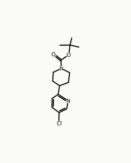 CC(C)(C)OC(=O)N1CCC(c2ccc(Cl)cn2)CC1